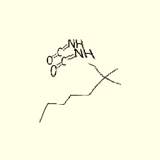 CCCCCC(C)(C)C.N=C=O.N=C=O